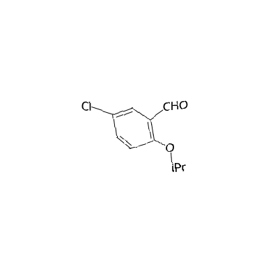 CC(C)Oc1ccc(Cl)cc1C=O